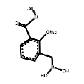 COc1c(CB(O)O)cccc1C(=O)OC(C)(C)C